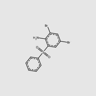 Nc1c(Br)cc(Br)cc1S(=O)(=O)c1ccccc1